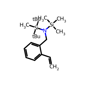 C=Cc1ccccc1CN([Si](C)(C)C)[Si](C)(C(C)(C)C)C(C)(C)C